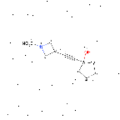 O=C(O)N1CC(C#CC2(O)CCCC2)C1